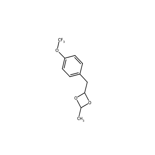 CC1OC(Cc2ccc(OC(F)(F)F)cc2)O1